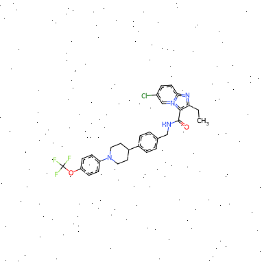 CCc1nc2ccc(Cl)cn2c1C(=O)NCc1ccc(C2CCN(c3ccc(OC(F)(F)F)cc3)CC2)cc1